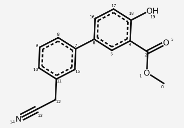 COC(=O)c1cc(-c2cccc(CC#N)c2)ccc1O